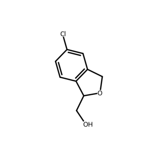 OCC1OCc2cc(Cl)ccc21